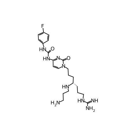 N=C(N)NCCC[C@@H](CCCn1ccc(NC(=O)Nc2ccc(F)cc2)nc1=O)NCCCN